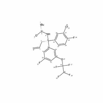 C=CC[C@@](N[S@+]([O-])C(C)(C)C)(c1cc(F)cc(OC(F)(F)C(F)F)c1)c1ccc(F)c(C(F)(F)F)c1